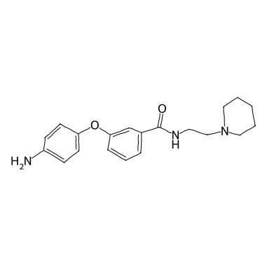 Nc1ccc(Oc2cccc(C(=O)NCCN3CCCCC3)c2)cc1